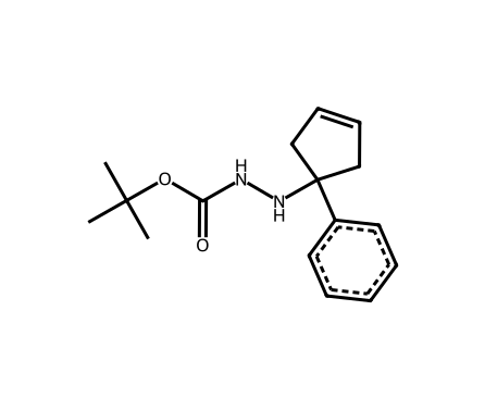 CC(C)(C)OC(=O)NNC1(c2ccccc2)CC=CC1